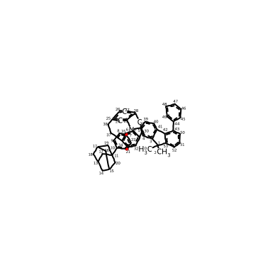 CC1(C)c2cc(N(c3ccc(C45CC6CC(CC(C6)C4)C5)cc3)c3cc4ccc3CCc3ccc(cc3)CC4)ccc2-c2c(-c3ccccc3)cccc21